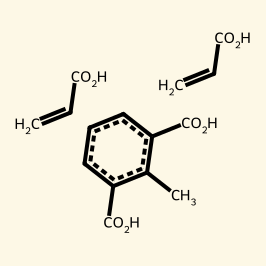 C=CC(=O)O.C=CC(=O)O.Cc1c(C(=O)O)cccc1C(=O)O